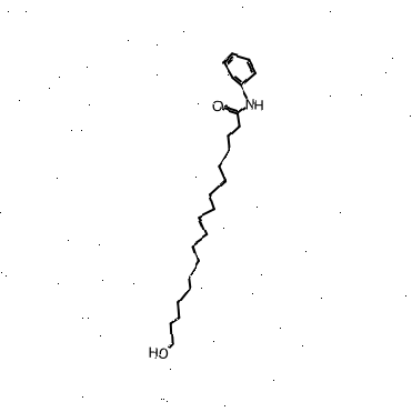 O=C(CCCCCCCCCCCCCCCCCO)Nc1ccccc1